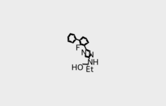 CC[C@H](CO)Nc1cnc(-c2cccc(-c3ccccc3)c2F)cn1